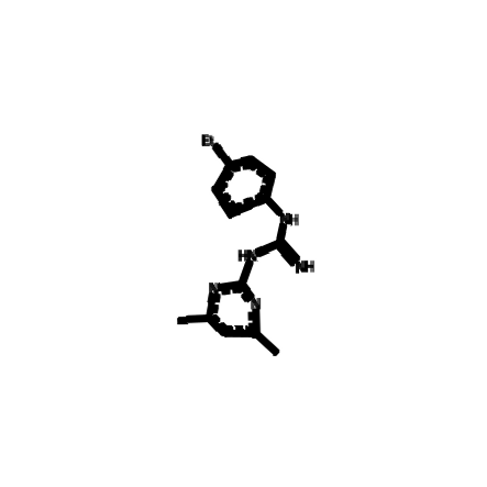 CCc1ccc(NC(=N)Nc2nc(C)cc(C)n2)cc1